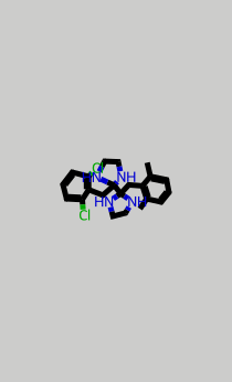 Cc1cccc(C)c1CC1(C2(Cc3c(Cl)cccc3Cl)NCCN2)NCCN1